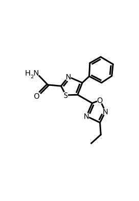 CCc1noc(-c2sc(C(N)=O)nc2-c2ccccc2)n1